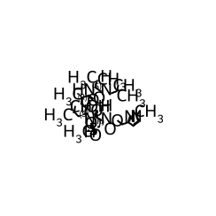 CC(C)CNC(=O)[C@@H](NC(=O)[C@H](C)C[C@H](O)[C@H](CC(C)C)NC(=O)[C@H](CS(C)(=O)=O)NC(=O)OCc1ccn(C)n1)C(C)C